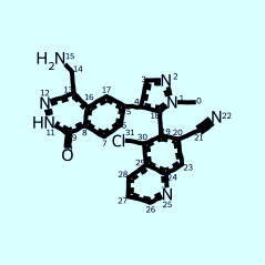 Cn1ncc(-c2ccc3c(=O)[nH]nc(CN)c3c2)c1-c1c(C#N)cc2ncccc2c1Cl